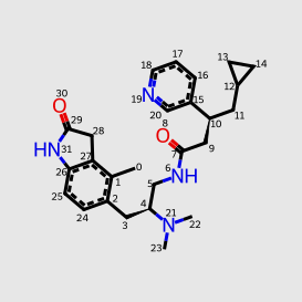 Cc1c(C[C@@H](CNC(=O)C[C@H](CC2CC2)c2cccnc2)N(C)C)ccc2c1CC(=O)N2